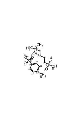 C[N+](C)(C)CCCCS(=O)(=O)O.Cc1ccc(S(=O)(=O)[O-])cc1